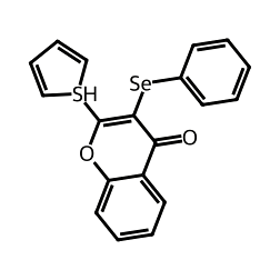 O=c1c([Se]c2ccccc2)c([SH]2C=CC=C2)oc2ccccc12